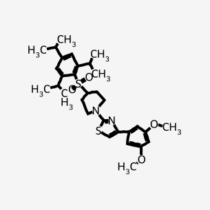 COc1cc(OC)cc(-c2csc(N3CCC(S(=O)(=O)c4c(C(C)C)cc(C(C)C)cc4C(C)C)CC3)n2)c1